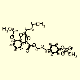 CCCCC(=O)Oc1c(NC(=O)OCCCc2ccc(OS(C)(=O)=O)cc2)cccc1OCC